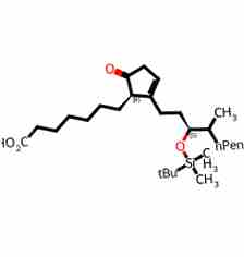 CCCCCC(C)[C@H](CCC1=CCC(=O)[C@@H]1CCCCCCC(=O)O)O[Si](C)(C)C(C)(C)C